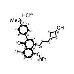 CCCOc1ccc(F)c2c(=O)c(-c3ccc(OC)cc3)cn(CCCN3CC(O)C3)c12.Cl